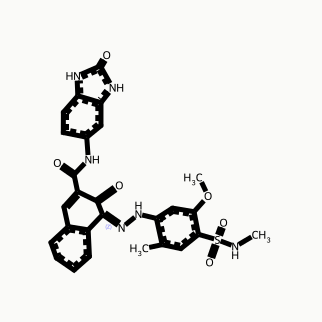 CNS(=O)(=O)c1cc(C)c(N/N=C2\C(=O)C(C(=O)Nc3ccc4[nH]c(=O)[nH]c4c3)=Cc3ccccc32)cc1OC